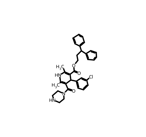 CC1=C(C(=O)OCCC(c2ccccc2)c2ccccc2)C(c2cccc(Cl)c2)C(C(=O)N2CCNCC2)=C(C)N1